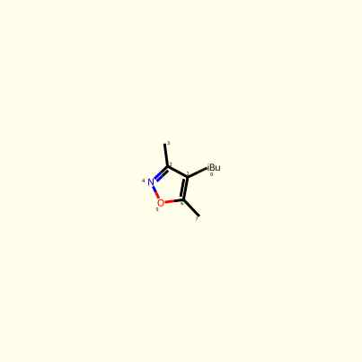 CCC(C)c1c(C)noc1C